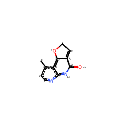 Cc1ccnc2c1=C1OCC=C1C(=O)N=2